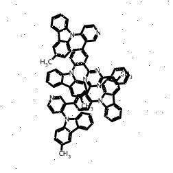 Cc1ccc2c(c1)c1ccccc1n2-c1ccncc1-c1ccc(-n2c3ccccc3c3cc(C)ccc32)c(-c2nc(-c3ccccc3)nc(-c3cc(-c4cnccc4-n4c5ccccc5c5cc(C)ccc54)ccc3-n3c4ccccc4c4cc(C)ccc43)n2)c1